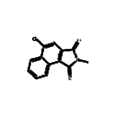 CN1C(=O)c2cc(Cl)c3ccccc3c2C1=O